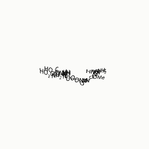 CCCCCNc1nc(N)nc2ccn(Cc3ccc(CN4CCN(C(=O)NCCOCCOCCOCCN5C=C(CNC(=O)CC(SC[C@H](N)C(=O)O)C(=O)O)NN5)CC4)cc3OC)c12